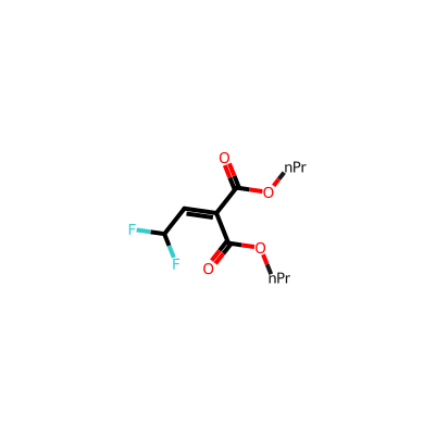 CCCOC(=O)C(=CC(F)F)C(=O)OCCC